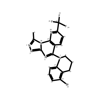 Cc1nnc2nc(N3CCCc4c(Br)cccc43)c3ccc(C(F)(F)F)nc3n12